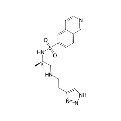 C[C@H](CNCCc1c[nH]nn1)NS(=O)(=O)c1ccc2cnccc2c1